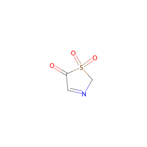 O=C1C=NCS1(=O)=O